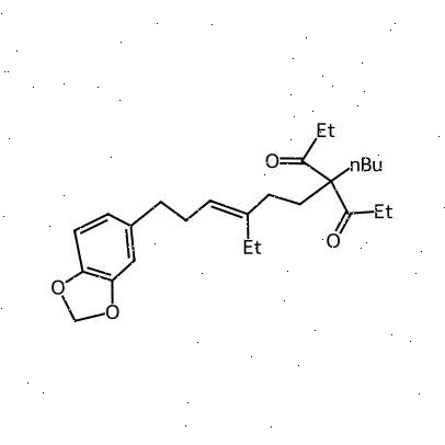 CCCCC(CC/C(=C/CCc1ccc2c(c1)OCO2)CC)(C(=O)CC)C(=O)CC